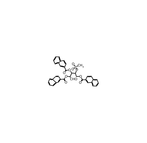 CS(=O)(=O)OC(COC(=O)c1ccc2ccccc2c1)C(OC(=O)c1ccc2ccccc2c1)C(C=O)OC(=O)c1ccc2ccccc2c1